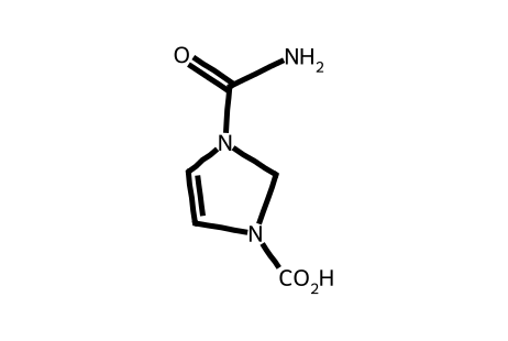 NC(=O)N1C=CN(C(=O)O)C1